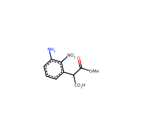 COC(=O)C(C(=O)O)c1cccc(N)c1[N+](=O)[O-]